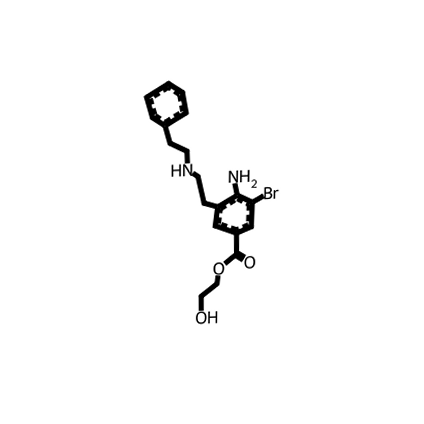 Nc1c(Br)cc(C(=O)OCCO)cc1CCNCCc1ccccc1